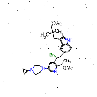 CO[C@@H](C)c1ncc(N2CCN(C3CC3)CC2)cc1[C@@H](Br)Cc1ccc2[nH]cc(CC(C)(C)COC(C)=O)c2c1